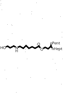 CCCCCCCC(CCCCC)CCOC(=O)CCCCCCNCCCO